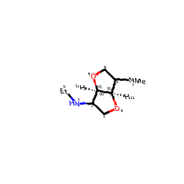 CCNC1CO[C@@H]2C(NC)CO[C@H]12